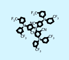 N#Cc1cc(N(c2cccc(C(F)(F)F)c2)c2cccc(C(F)(F)F)c2)ccc1N(c1ccc(N(c2cccc(C(F)(F)F)c2)c2cccc(C(F)(F)F)c2)cc1C#N)c1ccc(N(c2cccc(C(F)(F)F)c2)c2cccc(C(F)(F)F)c2)cc1C#N